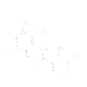 CC(=O)c1cccc(C(=O)Nc2c(N)n(C)c(=O)n(C)c2=O)c1O